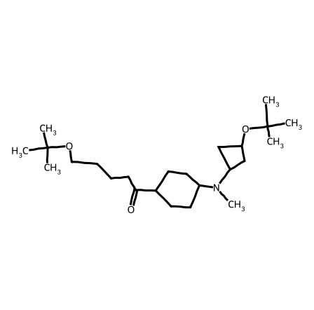 CN(C1CCC(C(=O)CCCCOC(C)(C)C)CC1)C1CC(OC(C)(C)C)C1